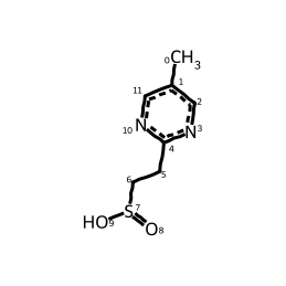 Cc1cnc(CCS(=O)O)nc1